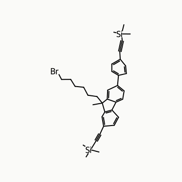 CC1(CCCCCCBr)c2cc(C#C[Si](C)(C)C)ccc2-c2ccc(-c3ccc(C#C[Si](C)(C)C)cc3)cc21